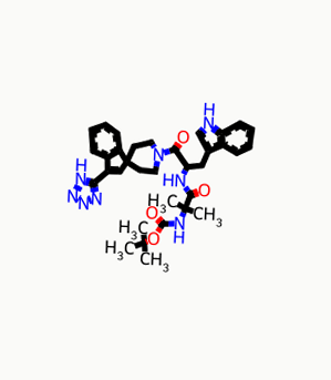 CC(C)(C)OC(=O)NC(C)(C)C(=O)NC(Cc1c[nH]c2ccccc12)C(=O)N1CCC2(C=C(c3nnn[nH]3)c3ccccc32)CC1